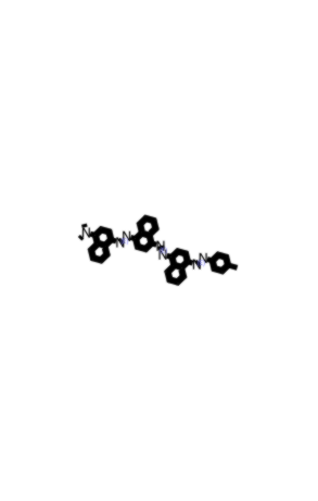 Cc1ccc(/N=N/c2ccc(/N=N/c3ccc(/N=N/c4ccc(N(C)C)c5ccccc45)c4ccccc34)c3ccccc23)cc1